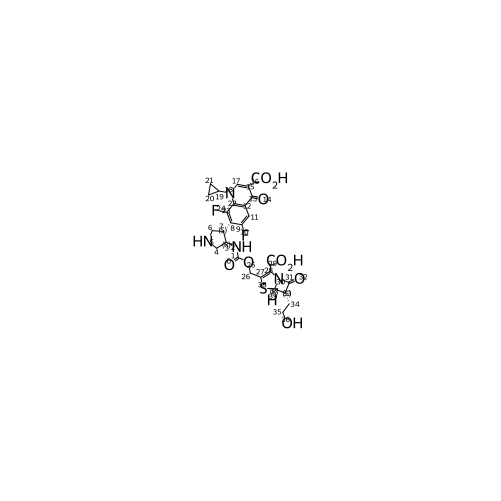 O=C(N[C@H]1CNC[C@@H]1c1c(F)cc2c(=O)c(C(=O)O)cn(C3CC3)c2c1F)OCC1=C(C(=O)O)N2C(=O)[C@H](CCO)[C@H]2S1